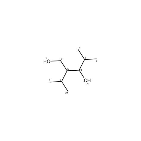 CC(C)C(O)C(CO)C(C)C